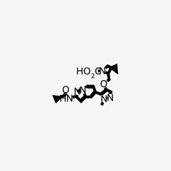 Cn1ncc(OCC2N(C(=O)O)CC23CC3)c1-c1ccn2nc(NC(=O)C3CC3)cc2c1